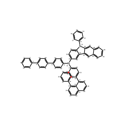 c1ccc(-c2ccc(-c3ccc(N(c4ccc(-c5cccc6cccc(-c7ccccc7)c56)cc4)c4ccc5c(c4)c4cc6ccccc6cc4n5-c4ccccc4)cc3)cc2)cc1